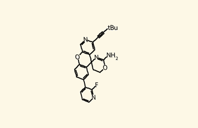 CC(C)(C)C#Cc1cc2c(cn1)Oc1ccc(-c3cccnc3F)cc1C21CCOC(N)=N1